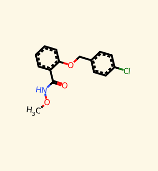 CONC(=O)c1ccccc1OCc1ccc(Cl)cc1